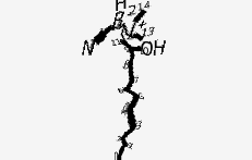 CCCCCCCCCC(O)C[N+](C)(C)[BH2-]C#N